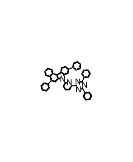 c1ccc(-c2ccc3c4c5ccccc5c(-c5ccccc5)cc4n(-c4cccc(-c5nc(-c6ccccc6)nc(-c6ccccc6)n5)n4)c3c2)cc1